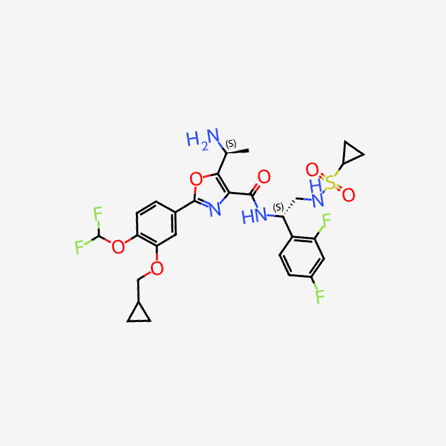 C[C@H](N)c1oc(-c2ccc(OC(F)F)c(OCC3CC3)c2)nc1C(=O)N[C@H](CNS(=O)(=O)C1CC1)c1ccc(F)cc1F